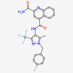 Cc1c(NC(=O)c2cc(C(N)=O)nc3ccccc23)c(C(F)(F)F)nn1Cc1ccc(F)cc1